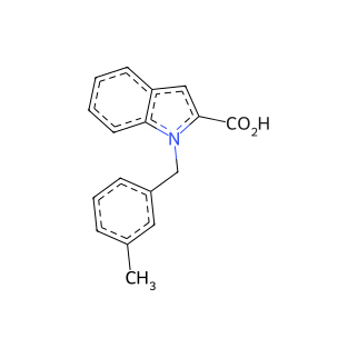 Cc1cccc(Cn2c(C(=O)O)cc3ccccc32)c1